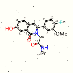 COc1cc(-c2cc3ccc(O)cc3c(=O)n2CC(=O)NC(C)C)ccc1F